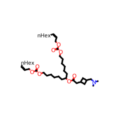 CCCCCC/C=C\COC(=O)OCCCCCCC(CCCCCCOC(=O)OC/C=C\CCCCCC)OC(=O)CC1CC(CN(C)C)C1